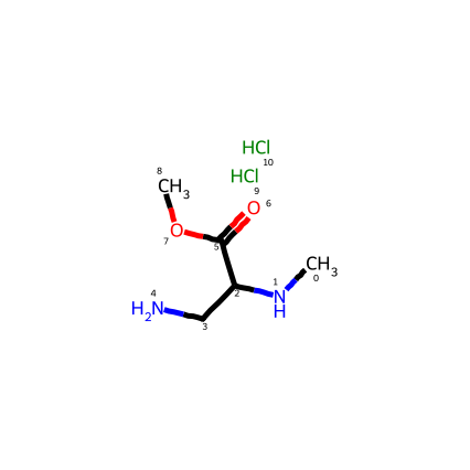 CNC(CN)C(=O)OC.Cl.Cl